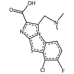 CN(C)Cc1c(C(=O)O)nc2sc3c(Cl)c(F)ccc3n12